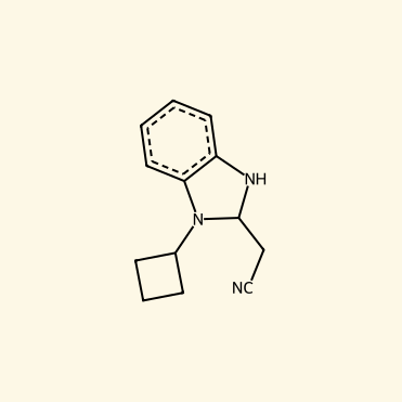 N#CCC1Nc2ccccc2N1C1CCC1